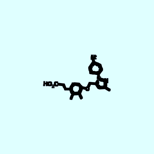 CCc1ccc(-n2nc(C)cc2COc2ccc(CCC(=O)O)c(C)c2C)cc1